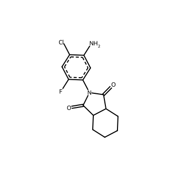 Nc1cc(N2C(=O)C3CCCCC3C2=O)c(F)cc1Cl